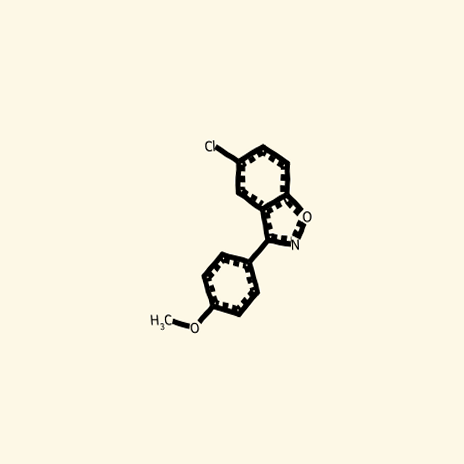 COc1ccc(-c2noc3ccc(Cl)cc23)cc1